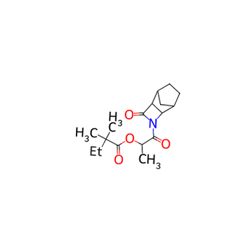 CCC(C)(C)C(=O)OC(C)C(=O)N1C(=O)C2C3CCC(C3)C21